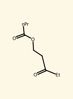 [CH2]CCC(=O)OCCC(=O)CC